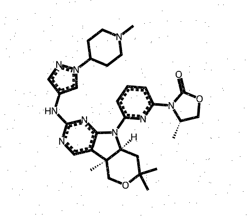 C[C@H]1COC(=O)N1c1cccc(N2c3nc(Nc4cnn(C5CCN(C)CC5)c4)ncc3[C@]3(C)COC(C)(C)C[C@H]23)n1